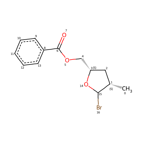 C[C@H]1C[C@@H](COC(=O)c2ccccc2)OC1Br